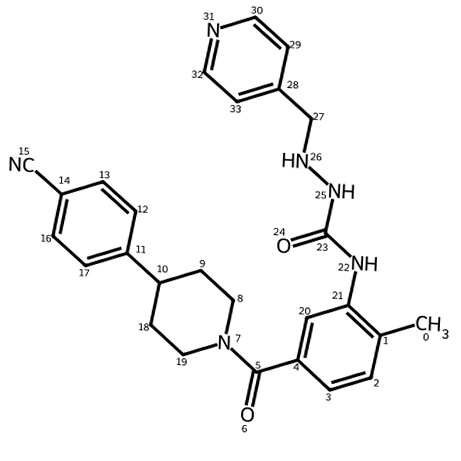 Cc1ccc(C(=O)N2CCC(c3ccc(C#N)cc3)CC2)cc1NC(=O)NNCc1ccncc1